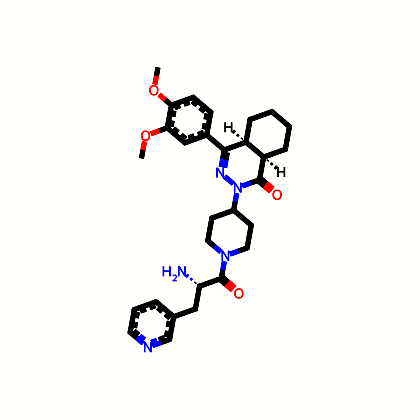 COc1ccc(C2=NN(C3CCN(C(=O)[C@@H](N)Cc4cccnc4)CC3)C(=O)[C@@H]3CCCC[C@H]23)cc1OC